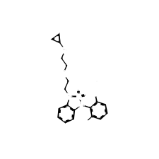 Cl.O=S1(=O)N(CCOCCNC2CC2)c2ccccc2N1c1c(F)cccc1F